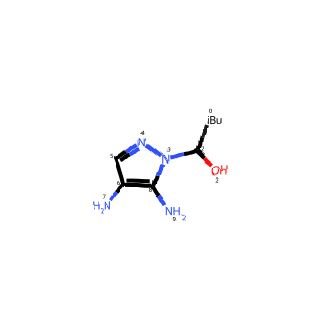 CCC(C)C(O)n1ncc(N)c1N